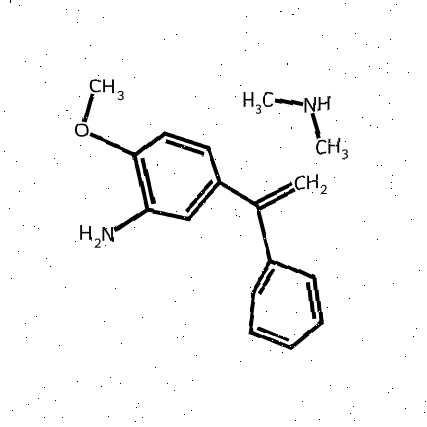 C=C(c1ccccc1)c1ccc(OC)c(N)c1.CNC